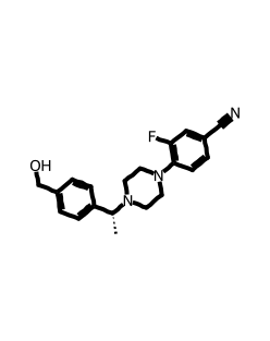 C[C@H](c1ccc(CO)cc1)N1CCN(c2ccc(C#N)cc2F)CC1